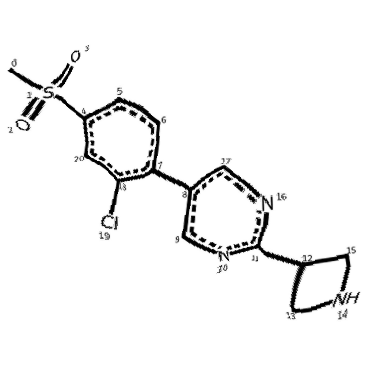 CS(=O)(=O)c1ccc(-c2cnc(C3CNC3)nc2)c(Cl)c1